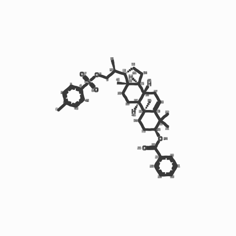 Cc1ccc(S(=O)(=O)OC[C@@H](C)[C@@H]2CC[C@H]3[C@@H]4CC=C5C(C)(C)[C@@H](OC(=O)c6ccccc6)CC[C@@]5(C)[C@H]4CC[C@@]32C)cc1